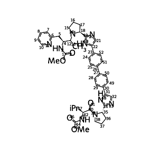 COC(=O)N[C@@H](Cc1ccccn1)C(C)N1CCC[C@H]1c1ncc(-c2ccc(-c3ccc(-c4cnc([C@@H]5CCCN5C(=O)[C@@H](NC(=O)OC)C(C)C)[nH]4)cc3)cc2)[nH]1